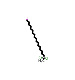 C[Si](Cl)(Cl)CCCCCCCCCCCCCCCCCCI